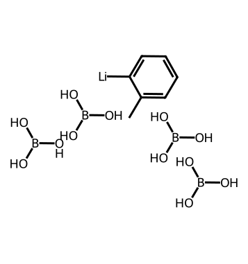 OB(O)O.OB(O)O.OB(O)O.OB(O)O.[Li][c]1ccccc1C